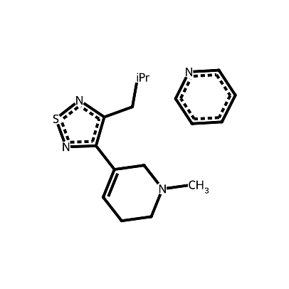 CC(C)Cc1nsnc1C1=CCCN(C)C1.c1ccncc1